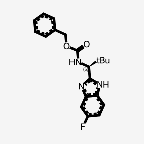 CC(C)(C)[C@H](NC(=O)OCc1ccccc1)c1nc2cc(F)ccc2[nH]1